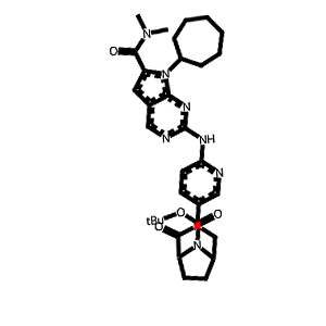 CN(C)C(=O)c1cc2cnc(Nc3ccc(N4CC5CCC(C4=O)N5C(=O)OC(C)(C)C)cn3)nc2n1C1CCCCCC1